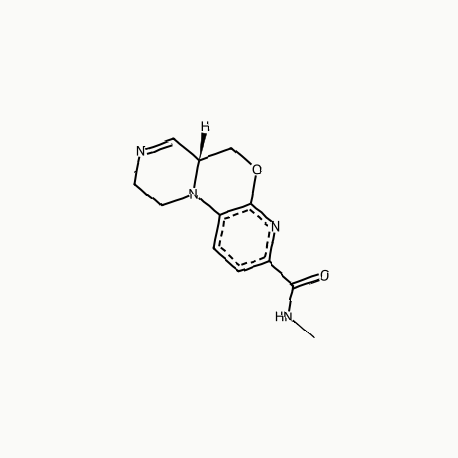 CNC(=O)c1ccc2c(n1)OC[C@H]1C=NCCN21